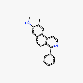 CNc1cc2ccc3c(-c4ccccc4)nccc3c2cc1C